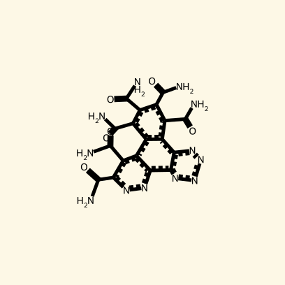 NC(=O)c1nnc2c3nnnnc3c3c(C(N)=O)c(C(N)=O)c(C(N)=O)c(C(N)=O)c3c2c1C(N)=O